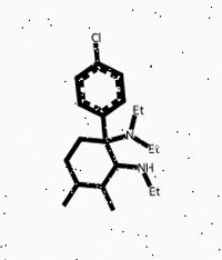 CCNC1C(C)C(C)CCC1(c1ccc(Cl)cc1)N(CC)CC